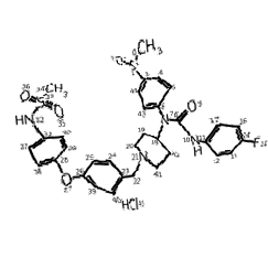 C[S+]([O-])c1ccc(N(C(=O)Nc2ccc(F)cc2)C2CCN(Cc3ccc(Oc4ccc(NS(C)(=O)=O)cc4)cc3)CC2)cc1.Cl